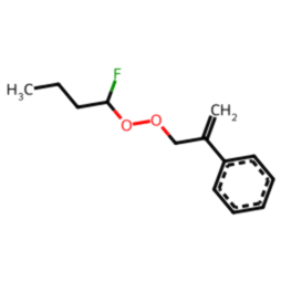 C=C(COOC(F)CCC)c1ccccc1